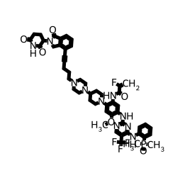 C=C(F)C(=O)Nc1cc(Nc2ncc(C(F)(F)F)c(Nc3ccccc3P(C)(C)=O)n2)c(OC)cc1N1CCC(N2CCN(CCCC#Cc3cccc4c3CN(C3CCC(=O)NC3=O)C4=O)CC2)CC1